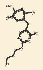 COc1cc(C(C)C)c(Cc2cnc(SCCCN)nc2Cl)cc1Cl